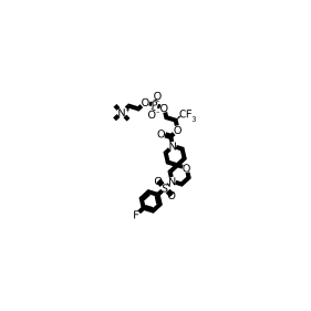 C[N+](C)(C)CCOP(=O)([O-])OC[C@@H](OC(=O)N1CCC2(CC1)CN(S(=O)(=O)c1ccc(F)cc1)CCO2)C(F)(F)F